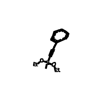 CCO[Si](C)(C#Cc1ccccc1)OCC